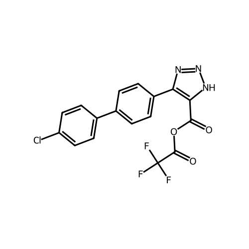 O=C(OC(=O)C(F)(F)F)c1[nH]nnc1-c1ccc(-c2ccc(Cl)cc2)cc1